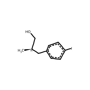 C[C@@H](CO)Cc1ccc(I)cc1